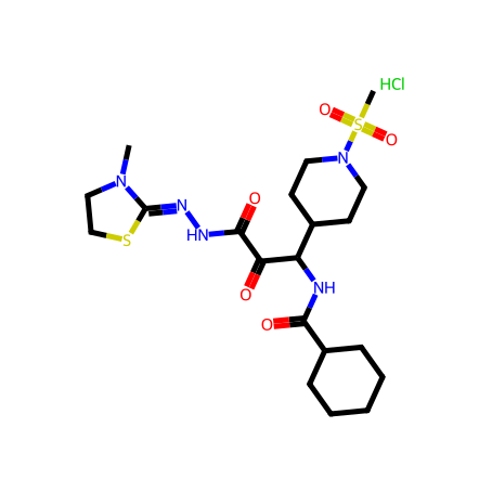 CN1CCS/C1=N\NC(=O)C(=O)C(NC(=O)C1CCCCC1)C1CCN(S(C)(=O)=O)CC1.Cl